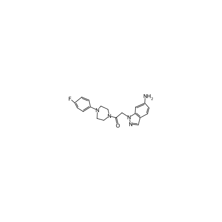 Nc1ccc2cnn(CC(=O)N3CCN(c4ccc(F)cc4)CC3)c2c1